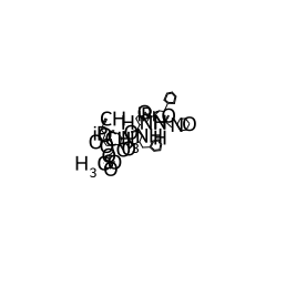 C#CCOC(=O)OC(C)(COS(C)(=O)=O)C(=O)C(CC(C)C)NC(=O)C(Cc1ccccc1)NC(=O)C(CC(C)C)NC(=O)C(CCc1ccccc1)NC(=O)CN1CCOCC1